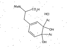 CNC(CC1=CC(O)(C(C)=O)C(O)(C(C)=O)C=C1)C(=O)O.Cl